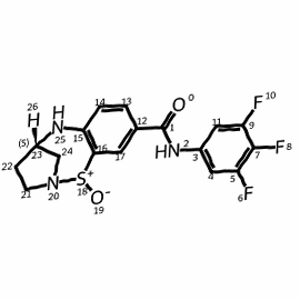 O=C(Nc1cc(F)c(F)c(F)c1)c1ccc2c(c1)[S+]([O-])N1CC[C@@H](C1)N2